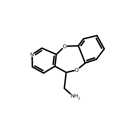 NCC1Oc2ccccc2Oc2cnccc21